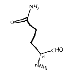 CN[C@@H](C=O)CCC(N)=O